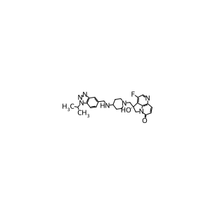 CC(C)n1nnc2cc(CNC3CCN(C[C@]4(O)Cn5c(=O)ccc6ncc(F)c4c65)CC3)ccc21